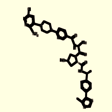 Cc1ncsc1-c1ccc([C@H](C)NC(=O)[C@@H]2C[C@@H](O)CN2C(=O)C(NC(=O)c2ccc(N3CCN(c4cc(Cl)nnc4N)CC3)nc2)C(C)(C)C)cc1